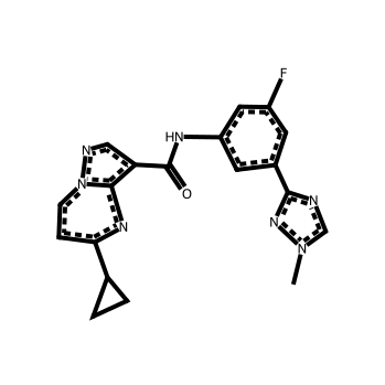 Cn1cnc(-c2cc(F)cc(NC(=O)c3cnn4ccc(C5CC5)nc34)c2)n1